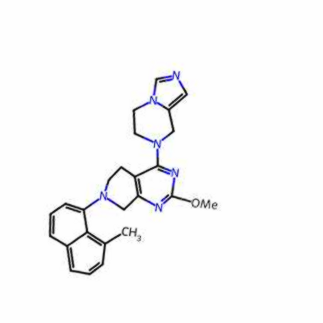 COc1nc2c(c(N3CCn4cncc4C3)n1)CCN(c1cccc3cccc(C)c13)C2